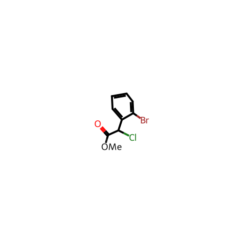 COC(=O)C(Cl)c1ccccc1Br